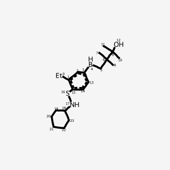 CCc1cc(BCC(C)(C)C(C)(C)O)ccc1SNC1CCCCC1